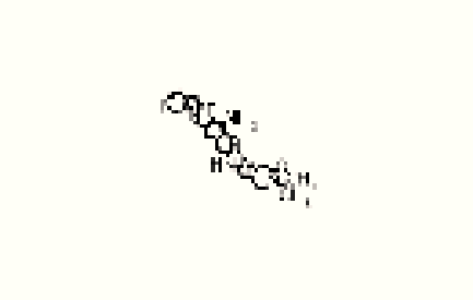 CC(C)N1CCc2cc(Nc3cc4cc(Cn5ccc6ccncc65)c(F)c(N)c4cn3)nn2CC1=O